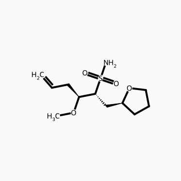 C=CC[C@H](OC)[C@@H](C[C@@H]1CCCO1)S(N)(=O)=O